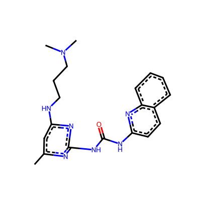 Cc1cc(NCCCN(C)C)nc(NC(=O)Nc2ccc3ccccc3n2)n1